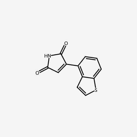 O=C1C=C(c2cccc3sccc23)C(=O)N1